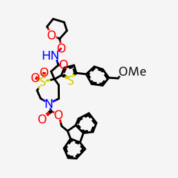 COCc1ccc(-c2ccc(C3(CC(=O)NOC4CCCCO4)CCN(C(=O)OCC4c5ccccc5-c5ccccc54)CCS3(=O)=O)s2)cc1